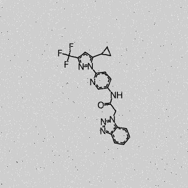 O=C(Cn1nnc2ccccc21)Nc1ccc(-n2nc(C(F)(F)F)cc2C2CC2)nc1